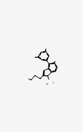 CCCCC1=Cc2c(ccc(C)c2-c2cc(C)cc(C)c2)[CH]1[Zr]([Cl])[Cl]